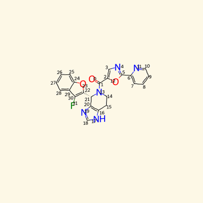 O=C(c1cnc(-c2ccccn2)o1)N1CCc2[nH]cnc2[C@@H]1c1oc2ccccc2c1F